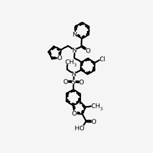 CCN(c1ccc(Cl)cc1CN(Cc1ccco1)C(=O)c1ccccn1)S(=O)(=O)c1ccc2oc(C(=O)O)c(C)c2c1